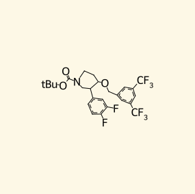 CC(C)(C)OC(=O)N1CCC(OCc2cc(C(F)(F)F)cc(C(F)(F)F)c2)C(c2ccc(F)c(F)c2)C1